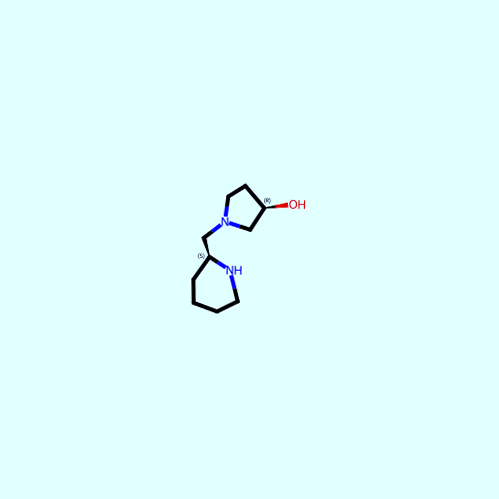 O[C@@H]1CCN(C[C@@H]2CCCCN2)C1